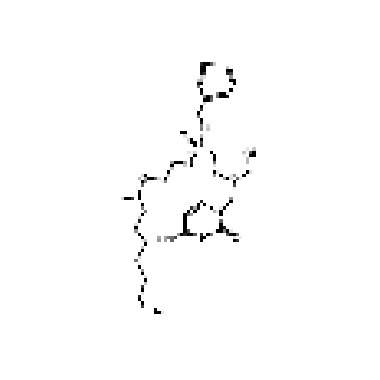 CCCCCCCCCCCCCCCCC(C)OCCO[P@](=O)(CO[C@@H](CO)Cn1ccc(N)nc1=O)OCc1ccccc1